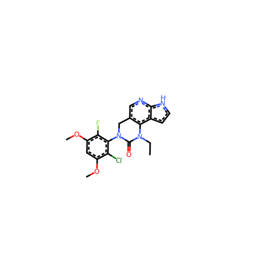 CCN1C(=O)N(c2c(F)c(OC)cc(OC)c2Cl)Cc2cnc3[nH]ccc3c21